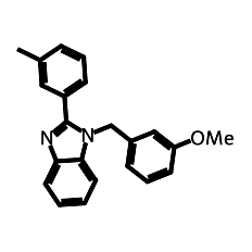 COc1cccc(Cn2c(-c3cccc(C)c3)nc3ccccc32)c1